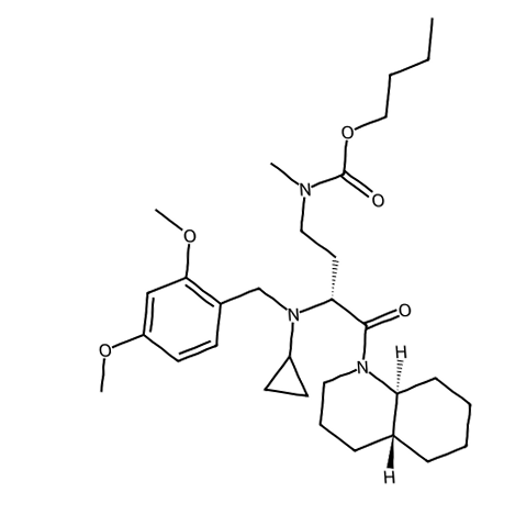 CCCCOC(=O)N(C)CC[C@H](C(=O)N1CCC[C@H]2CCCC[C@@H]21)N(Cc1ccc(OC)cc1OC)C1CC1